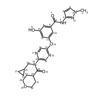 Cn1ccc(NC(=O)c2cc(O)cc(Oc3cnc(N(CC4CC4)C(=O)C4CCOCC4)cn3)c2)n1